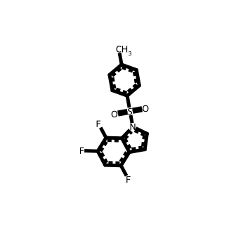 Cc1ccc(S(=O)(=O)n2ccc3c(F)cc(F)c(F)c32)cc1